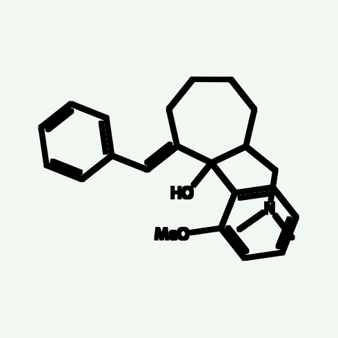 COc1ccccc1C1(O)C(=Cc2ccccc2)CCCCC1CN(C)C